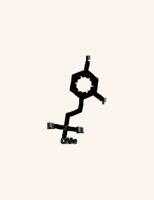 CC[Si](CC)(CCc1ccc(F)cc1F)OC